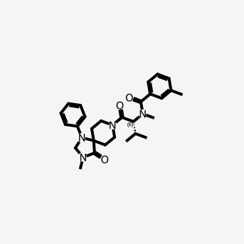 Cc1cccc(C(=O)N(C)[C@@H](C(=O)N2CCC3(CC2)C(=O)N(C)CN3c2ccccc2)C(C)C)c1